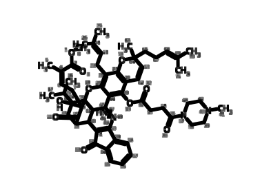 COC(=O)/C(C)=C\CC1(O)C(=O)C2CC(C(C)C)C13Oc1c(CC=C(C)C)c4c(c(OC(=O)CCC(=O)N5CCN(C)CC5)c1C15NCCN1C1=C(C(=O)c6ccccc61)C2C53)C=CC(C)(CCC=C(C)C)O4